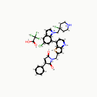 O=C(O)C(F)(F)F.O=C1C=C(c2ccccc2)C(=O)N1Cc1cc2nccc(-c3cc(Cl)cc4ccn(CC5(F)CCNCC5)c34)c2s1